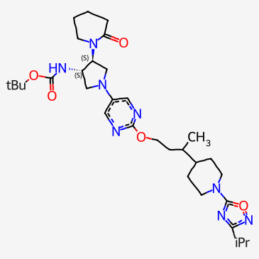 CC(C)c1noc(N2CCC(C(C)CCOc3ncc(N4C[C@H](NC(=O)OC(C)(C)C)[C@@H](N5CCCCC5=O)C4)cn3)CC2)n1